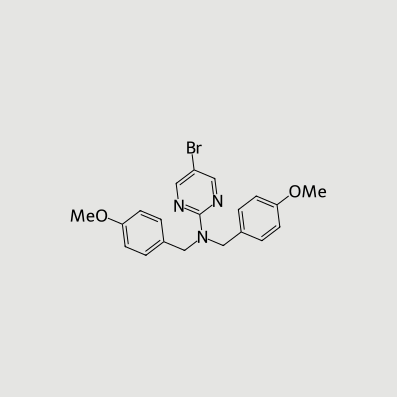 COc1ccc(CN(Cc2ccc(OC)cc2)c2ncc(Br)cn2)cc1